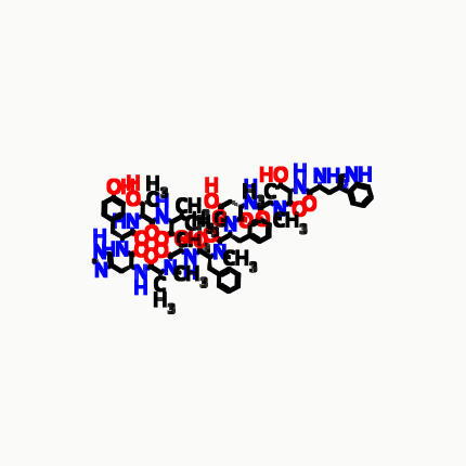 CC(C)[C@H](NC(=O)[C@@H](NC(=O)[C@H](Cc1ccc(O)cc1)NC(=O)[C@H](Cc1c[nH]cn1)NC(=O)[C@H](C)N(C)C(=O)[C@H](C)NC(=O)[C@H](Cc1ccccc1)N(C)C(=O)[C@H](Cc1ccccc1)N(C)C(=O)[C@H](CC(=O)O)NC(=O)CN(C)C(=O)[C@@H](NC(=O)[C@@H](N)Cc1c[nH]c2ccccc12)[C@@H](C)O)[C@@H](C)O)C(=O)O